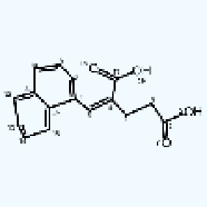 O=C(O)CCC(=Cc1cccc2ccccc12)C(=O)O